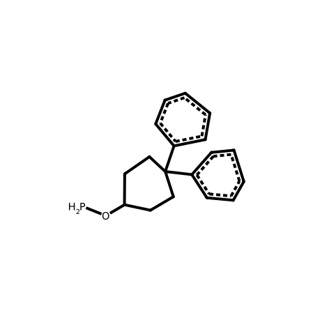 POC1CCC(c2ccccc2)(c2ccccc2)CC1